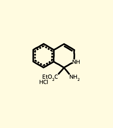 CCOC(=O)C1(N)NC=Cc2ccccc21.Cl